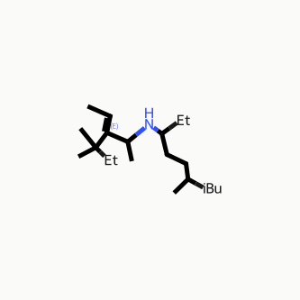 C/C=C(/C(C)NC(CC)CCC(C)C(C)CC)C(C)(C)CC